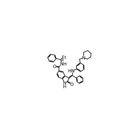 CC[C@@H](NC(=O)c1ccc2c(c1)C(=C(Nc1cccc(CN3CCCCC3)c1)c1ccccc1)C(=O)N2)c1ccccc1